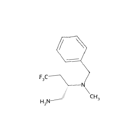 CN(Cc1ccccc1)[C@H](CN)CC(F)(F)F